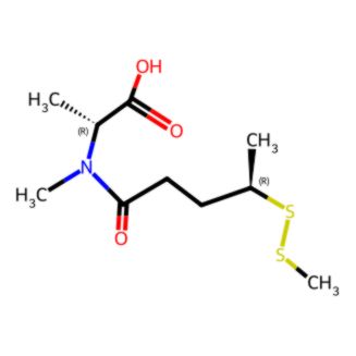 CSS[C@H](C)CCC(=O)N(C)[C@H](C)C(=O)O